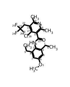 CCc1cc(OC)cc(CC)c1NC(=O)c1c(C)nc(C)c(CC(F)(F)F)c1Cl